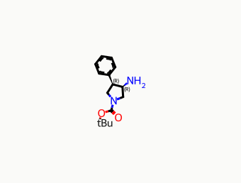 CC(C)(C)OC(=O)N1C[C@H](N)[C@H](c2ccccc2)C1